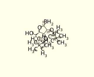 B[C@@H]1O[C@H](CO)[C@@H](O[Si](C)(C)C(C)(C)C)C1O[Si](C)(C)C(C)(C)C